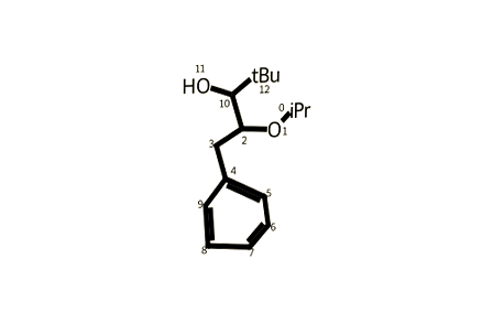 CC(C)OC(Cc1ccccc1)C(O)C(C)(C)C